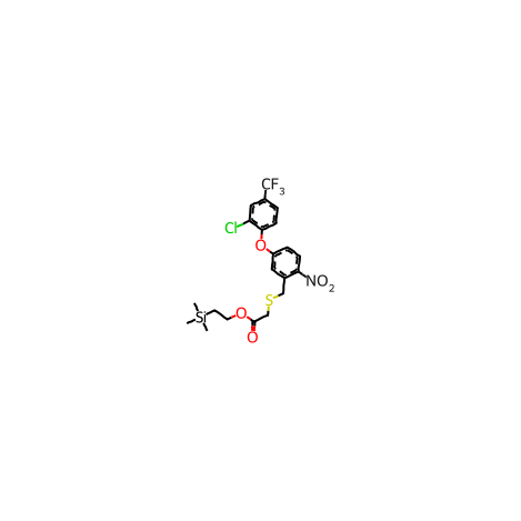 C[Si](C)(C)CCOC(=O)CSCc1cc(Oc2ccc(C(F)(F)F)cc2Cl)ccc1[N+](=O)[O-]